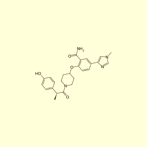 C[C@H](C(=O)N1CCC(Oc2ccc(-c3cn(C)cn3)cc2C(N)=O)CC1)c1ccc(O)cc1